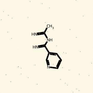 CC(=N)NC(=N)c1cccnc1